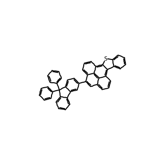 c1ccc(C2(c3ccccc3)c3ccccc3-c3cc(-c4cc5cccc6c7c8ccccc8sc7c7cccc4c7c56)ccc32)cc1